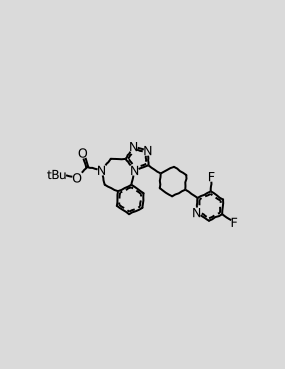 CC(C)(C)OC(=O)N1Cc2ccccc2-n2c(nnc2C2CCC(c3ncc(F)cc3F)CC2)C1